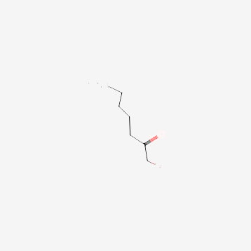 CC(=O)NCCCCC(=O)CBr